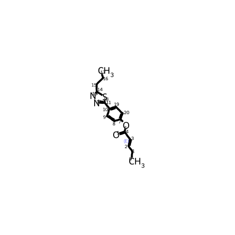 CC/C=C/C(=O)Oc1ccc(-c2nnc(CCC)s2)cc1